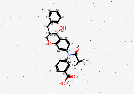 CC(C)C(=O)N(c1cccc(C(=O)O)c1)c1ccc2c(c1)OC[C@@H](Cc1ccccc1)[C@@H]2O